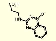 O=C(O)CCNc1nc2ccccc2[n+]([O-])n1